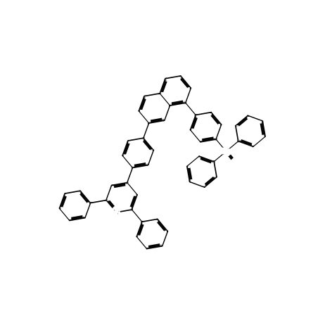 O=P(c1ccccc1)(c1ccccc1)c1ccc(-c2cccc3ccc(-c4ccc(-c5cc(-c6ccccc6)nc(-c6ccccc6)c5)cc4)cc23)cc1